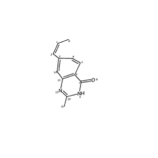 C/C=C\c1ccc2c(=O)[nH]c(C)nc2c1